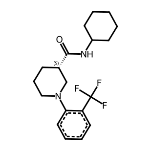 O=C(NC1CCCCC1)[C@H]1CCCN(c2ccccc2C(F)(F)F)C1